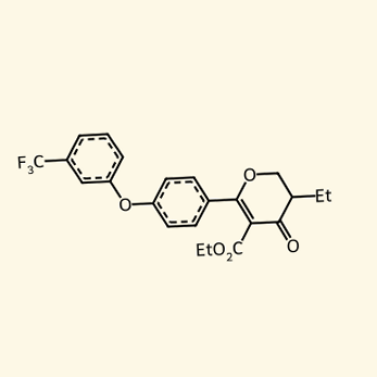 CCOC(=O)C1=C(c2ccc(Oc3cccc(C(F)(F)F)c3)cc2)OCC(CC)C1=O